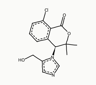 CC1(C)OC(=O)c2c(Cl)cccc2[C@@H]1n1cncc1CO